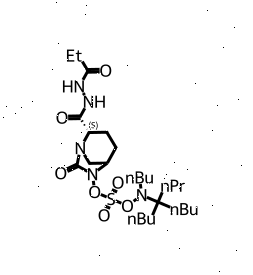 CCCCN(OS(=O)(=O)ON1C(=O)N2CC1CC[C@H]2C(=O)NNC(=O)CC)C(CCC)(CCCC)CCCC